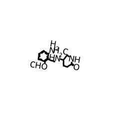 C=C1NC(=O)CCC1NCc1c(N)cccc1C=O